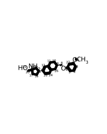 COc1cccc(OC[C@@H]2CCc3cc([C@@H]4CC[C@](N)(CO)C4)ccc3C2)c1